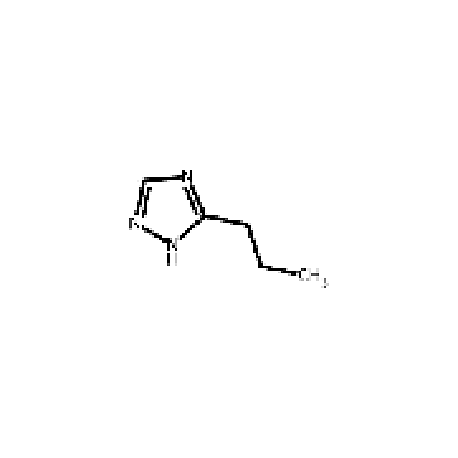 CCCc1n[c]n[nH]1